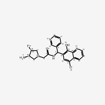 N[C@@H]1CN(CC(=O)NC(c2cccnc2)c2cc(Cl)c3cccnc3c2O)C[C@@H]1F